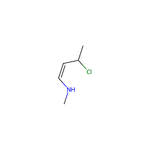 CN/C=C\C(C)Cl